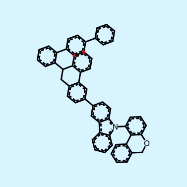 c1ccc(-c2ccc(-c3ccccc3C3Cc4ccc(-c5ccc6c(c5)c5ccccc5n6-c5cccc6c5-c5ccccc5CO6)cc4-c4ccccc43)cc2)cc1